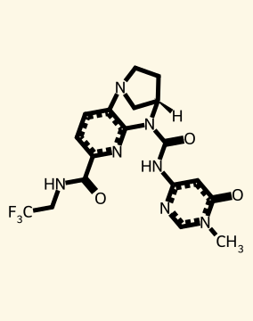 Cn1cnc(NC(=O)N2c3nc(C(=O)NCC(F)(F)F)ccc3N3CC[C@H]2C3)cc1=O